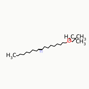 CCCCCCCC/C=C/CCCCCCCCOCC(C)(C)C